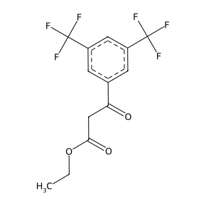 CCOC(=O)CC(=O)c1cc(C(F)(F)F)cc(C(F)(F)F)c1